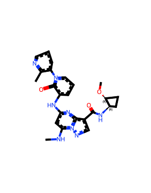 CNc1cc(Nc2cccn(-c3cccnc3C)c2=O)nc2c(C(=O)N[C@@H]3CC[C@H]3OC)cnn12